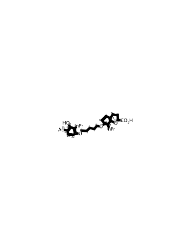 CCCc1c(OCCCCCOc2ccc3c(c2CCC)OC(C(=O)O)CC3)ccc(C(C)=O)c1O